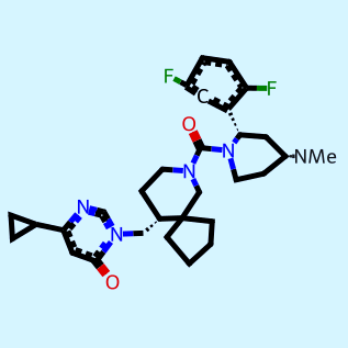 CN[C@@H]1CCN(C(=O)N2CC[C@@H](Cn3cnc(C4CC4)cc3=O)C3(CCCC3)C2)[C@H](c2cc(F)ccc2F)C1